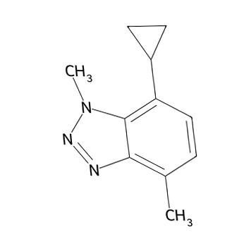 Cc1ccc(C2CC2)c2c1nnn2C